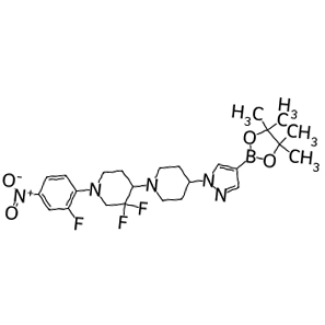 CC1(C)OB(c2cnn(C3CCN(C4CCN(c5ccc([N+](=O)[O-])cc5F)CC4(F)F)CC3)c2)OC1(C)C